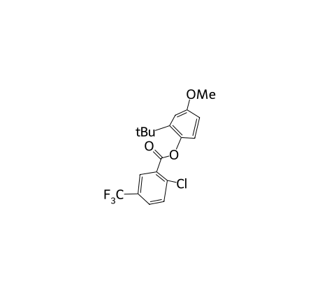 COc1ccc(OC(=O)c2cc(C(F)(F)F)ccc2Cl)c(C(C)(C)C)c1